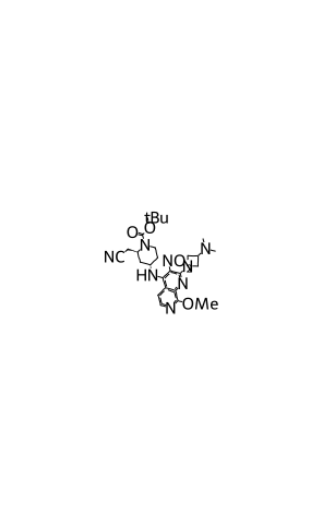 COc1nccc2c(N[C@H]3CCN(C(=O)OC(C)(C)C)[C@H](CC#N)C3)c([N+](=O)[O-])c(N3CC(N(C)C)C3)nc12